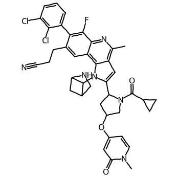 Cc1nc2c(F)c(-c3cccc(Cl)c3Cl)c(CCC#N)cc2c2c1cc(C1CC(Oc3ccn(C)c(=O)c3)CN1C(=O)C1CC1)n2C1C2CNC1C2